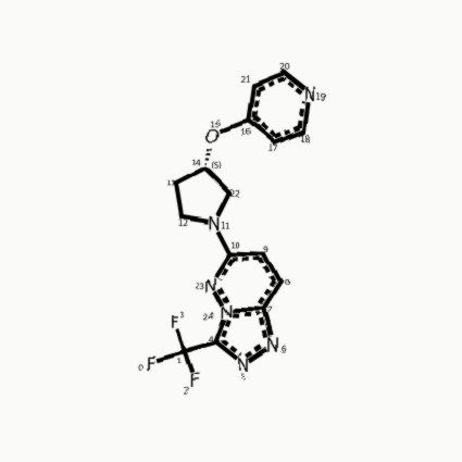 FC(F)(F)c1nnc2ccc(N3CC[C@H](Oc4ccncc4)C3)nn12